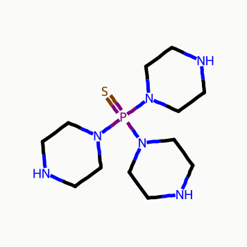 S=P(N1CCNCC1)(N1CCNCC1)N1CCNCC1